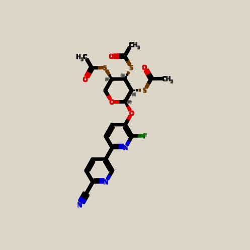 CC(=O)S[C@@H]1[C@@H](Oc2ccc(-c3ccc(C#N)nc3)nc2F)OC[C@@H](SC(C)=O)[C@@H]1SC(C)=O